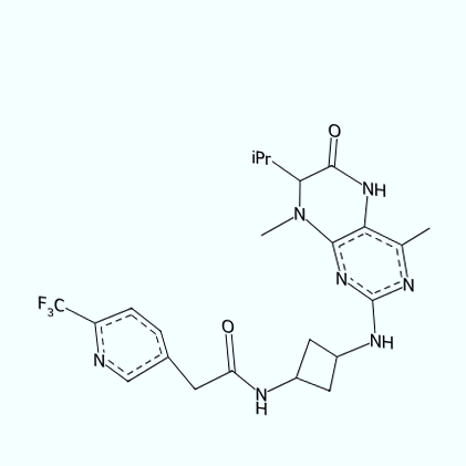 Cc1nc(NC2CC(NC(=O)Cc3ccc(C(F)(F)F)nc3)C2)nc2c1NC(=O)C(C(C)C)N2C